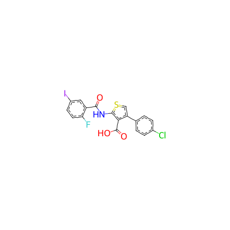 O=C(Nc1scc(-c2ccc(Cl)cc2)c1C(=O)O)c1cc(I)ccc1F